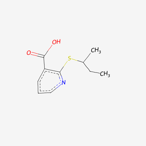 CCC(C)Sc1ncccc1C(=O)O